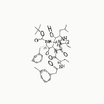 CC[C@@H](NC(=O)Cc1cccc(C)c1)C(=O)N(C(=O)[C@@H](N)C(C)C)C(C(=O)[C@H](Cc1ccccc1)NC(=O)OC(C)(C)C)C(F)(F)C(O)C(N)CC(C)C